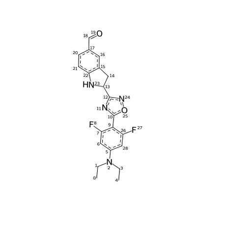 CCN(CC)c1cc(F)c(-c2nc(C3Cc4cc(C=O)ccc4N3)no2)c(F)c1